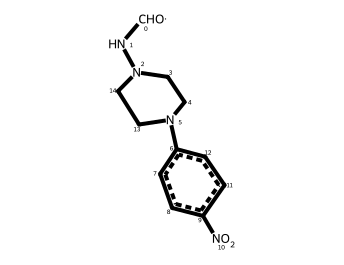 O=[C]NN1CCN(c2ccc([N+](=O)[O-])cc2)CC1